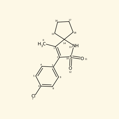 CC1=C(c2ccc(Cl)cc2)S(=O)(=O)NC12CCCC2